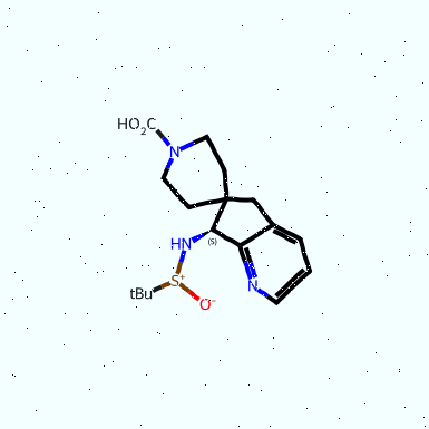 CC(C)(C)[S+]([O-])N[C@@H]1c2ncccc2CC12CCN(C(=O)O)CC2